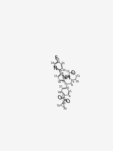 O=S(=O)(c1ccc(C(CC2CCOCC2)c2ccc(-c3ccc(F)cn3)[nH]2)cc1)C1CC1